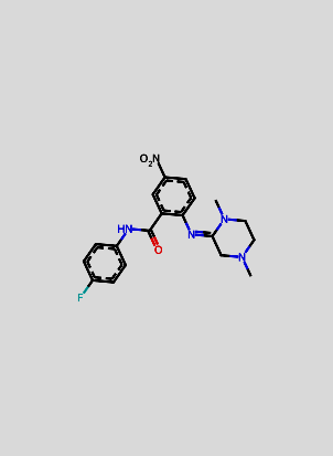 CN1CCN(C)/C(=N\c2ccc([N+](=O)[O-])cc2C(=O)Nc2ccc(F)cc2)C1